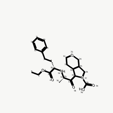 CCOC(=O)[C@H](CCc1ccccc1)N[C@@H](C)C(=O)C1C2CCOCC2CN1C(=O)O